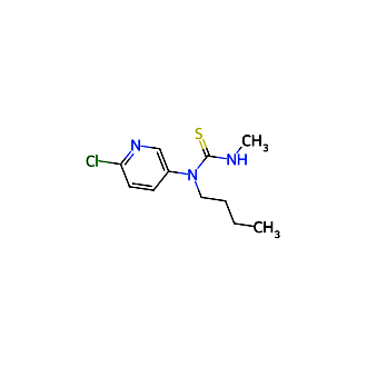 CCCCN(C(=S)NC)c1ccc(Cl)nc1